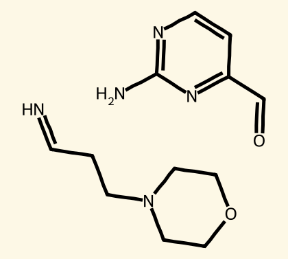 N=CCCN1CCOCC1.Nc1nccc(C=O)n1